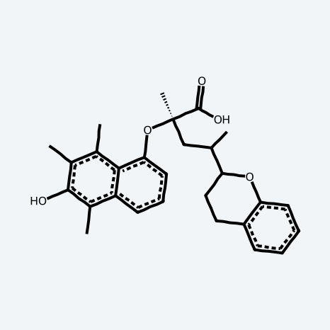 Cc1c(O)c(C)c2cccc(O[C@](C)(CC(C)C3CCc4ccccc4O3)C(=O)O)c2c1C